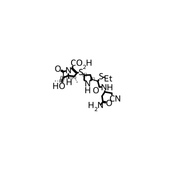 CCSC(C(=O)NC(CC#N)CC(N)=O)[C@@H]1C[C@H](SC2=C(C(=O)O)N3C(=O)[C@H]([C@@H](C)O)[C@H]3[C@H]2C)CN1